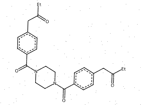 CCC(=O)Cc1ccc(C(=O)N2CCN(C(=O)c3ccc(CC(=O)CC)cc3)CC2)cc1